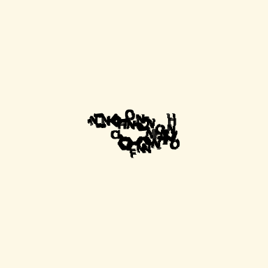 CN1CCN(C2CC(C(=O)Nc3cc(Nc4cc(-c5cc(Cl)ccc5F)nnc4N(C)CC4(C)C(=O)CNC4=O)ncn3)C2)CC1